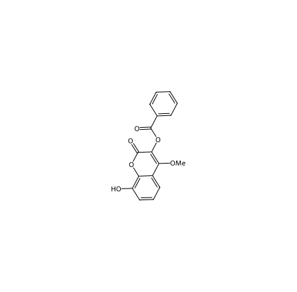 COc1c(OC(=O)c2ccccc2)c(=O)oc2c(O)cccc12